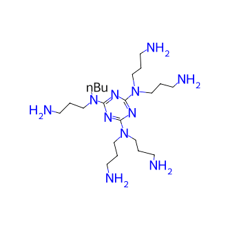 CCCCN(CCCN)c1nc(N(CCCN)CCCN)nc(N(CCCN)CCCN)n1